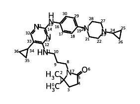 CC1(C)CCC(=O)N1CCCNc1nc(Nc2ccc(N3CCN(C4CC4)CC3)cc2)ncc1C1CC1